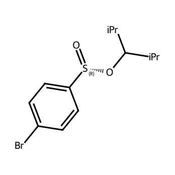 CC(C)C(O[S@@](=O)c1ccc(Br)cc1)C(C)C